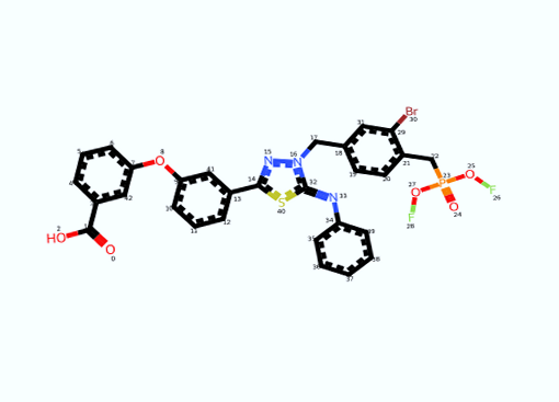 O=C(O)c1cccc(Oc2cccc(-c3nn(Cc4ccc(CP(=O)(OF)OF)c(Br)c4)c(=Nc4ccccc4)s3)c2)c1